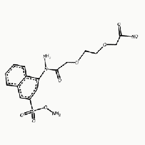 NOS(=O)(=O)c1cc(N(N)C(=O)COCCOCC(=O)N=O)c2ccccc2c1